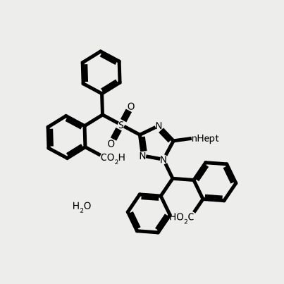 CCCCCCCc1nc(S(=O)(=O)C(c2ccccc2)c2ccccc2C(=O)O)nn1C(c1ccccc1)c1ccccc1C(=O)O.O